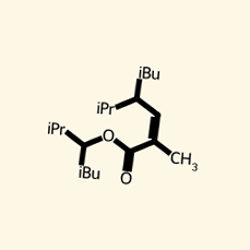 CCC(C)C(C=C(C)C(=O)OC(C(C)C)C(C)CC)C(C)C